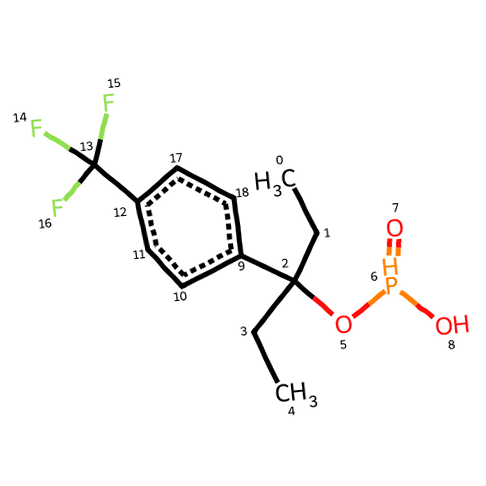 CCC(CC)(O[PH](=O)O)c1ccc(C(F)(F)F)cc1